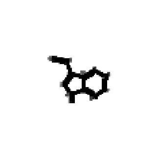 O=Nc1c[nH]c2ncncc12